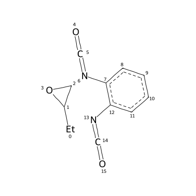 CCC1CO1.O=C=Nc1ccccc1N=C=O